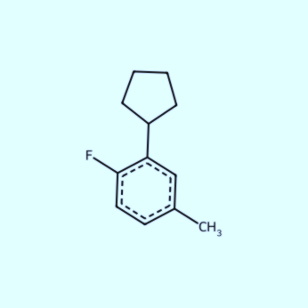 Cc1ccc(F)c(C2CCCC2)c1